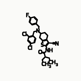 CCC(CC)C(=O)Nc1sc2c(c1C#N)CCC(N(Cc1ccc(F)cc1)Cc1ccc(Cl)cc1Cl)C2